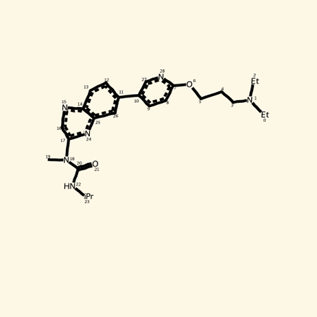 CCN(CC)CCCOc1ccc(-c2ccc3ncc(N(C)C(=O)NC(C)C)nc3c2)cn1